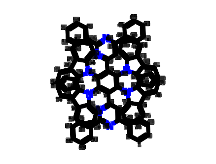 c1ccc(-c2cc(-c3c(-n4c5ccccc5c5ccccc54)c(-n4c5ccccc5c5ccccc54)c(-c4cc(-c5ccccc5)nc(-c5ccccc5)n4)c(-n4c5ccccc5c5ccccc54)c3-n3c4ccccc4c4ccccc43)nc(-c3ccccc3)n2)cc1